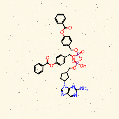 Nc1ncc2ncn([C@H]3CC[C@@H](COP(=O)(O)OP(=O)(OCc4ccc(OC(=O)c5ccccc5)cc4)OCc4ccc(OC(=O)c5ccccc5)cc4)C3)c2n1